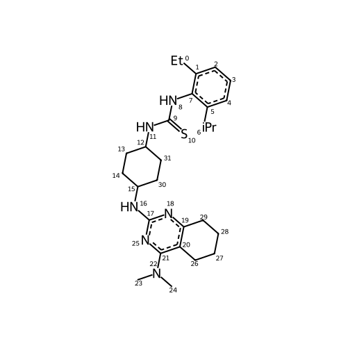 CCc1cccc(C(C)C)c1NC(=S)NC1CCC(Nc2nc3c(c(N(C)C)n2)CCCC3)CC1